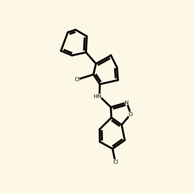 Clc1ccc2c(Nc3cccc(-c4ccccc4)c3Cl)noc2c1